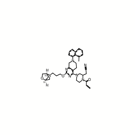 C=CC(=O)N1CCN(c2nc(OCCCN3C[C@@H]4C[C@H]3CO4)nc3c2CCN(c2cccc4cccc(C)c24)C3)CC1CC#N